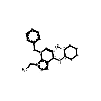 CCn1ncc2c1N(Cc1ccccc1)C=CC2N[C@@H]1CCCC[C@H]1N